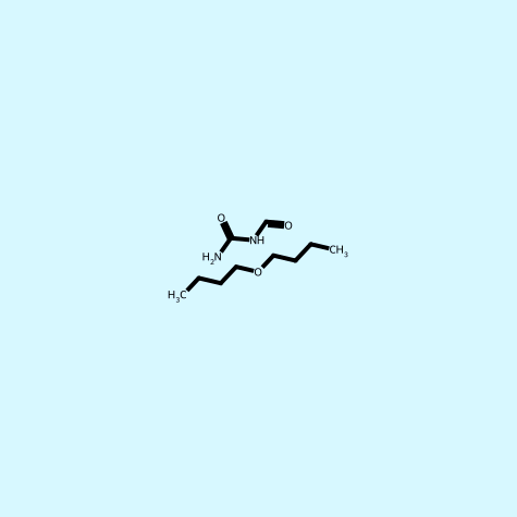 CCCCOCCCC.NC(=O)NC=O